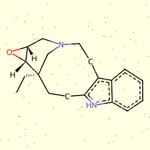 CC[C@]12CCc3[nH]c4ccccc4c3CCN(C[C@H]3O[C@H]31)C2